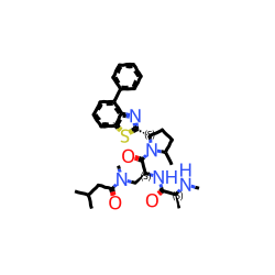 CN[C@@H](C)C(=O)N[C@@H](CN(C)C(=O)CC(C)C)C(=O)N1C(C)CC[C@H]1c1nc2c(-c3ccccc3)cccc2s1